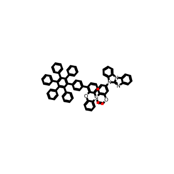 c1ccc(-c2c(-c3ccccc3)c(-c3ccccc3)c(-c3ccc(-c4cccc5c4Oc4ccccc4[Si]54c5ccccc5Oc5cc(-n6c7ccccc7n7c8ccccc8nc67)ccc54)cc3)c(-c3ccccc3)c2-c2ccccc2)cc1